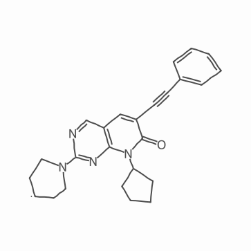 O=c1c(C#Cc2ccccc2)cc2cnc(N3CC[CH]CC3)nc2n1C1CCCC1